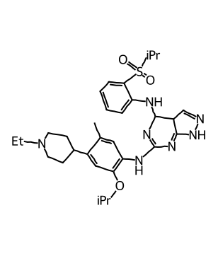 CCN1CCC(c2cc(OC(C)C)c(NC3=NC(Nc4ccccc4S(=O)(=O)C(C)C)C4C=NNC4=N3)cc2C)CC1